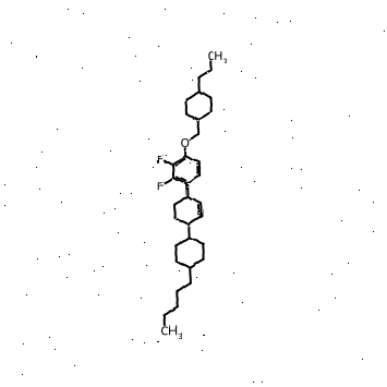 CCCCCC1CCC(C2C=CC(c3ccc(OCC4CCC(CCC)CC4)c(F)c3F)CC2)CC1